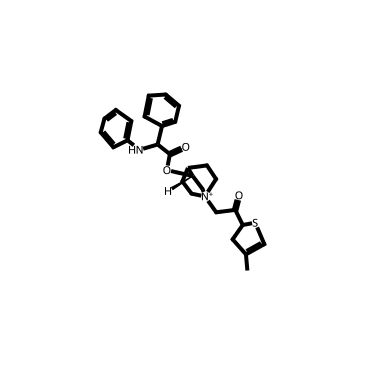 CC1=CSC(C(=O)C[N+]23CCC(CC2)[C@@H](OC(=O)C(Nc2ccccc2)c2ccccc2)C3)C1